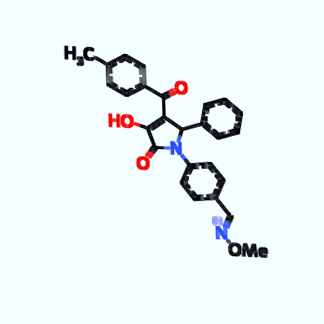 CO/N=C/c1ccc(N2C(=O)C(O)=C(C(=O)c3ccc(C)cc3)C2c2ccccc2)cc1